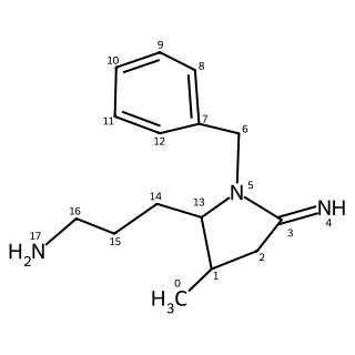 CC1CC(=N)N(Cc2ccccc2)C1CCCN